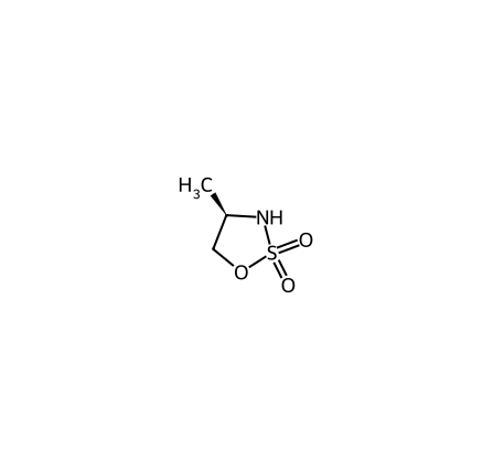 C[C@@H]1COS(=O)(=O)N1